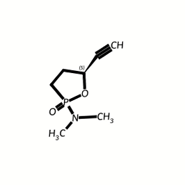 C#C[C@@H]1CCP(=O)(N(C)C)O1